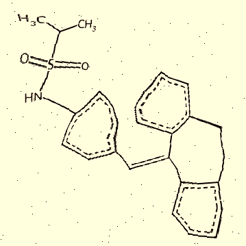 CC(C)S(=O)(=O)Nc1ccc(C=C2c3ccccc3CCc3ccccc32)cc1